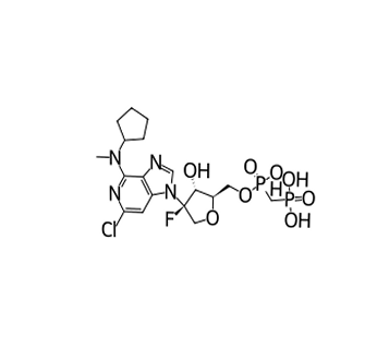 CN(c1nc(Cl)cc2c1ncn2[C@@]1(F)CO[C@H](COP(=O)(O)CP(=O)(O)O)[C@H]1O)C1CCCC1